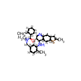 Cc1cc2cc3nccc(Nc4cc(CN(C)C(=O)c5ccccc5C=O)ccc4C)c3cc2s1